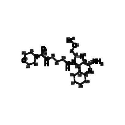 CCOCc1nc2c(N)nc3c(c2n1NCCCNC(=O)N1CCOCC1)CCCC3